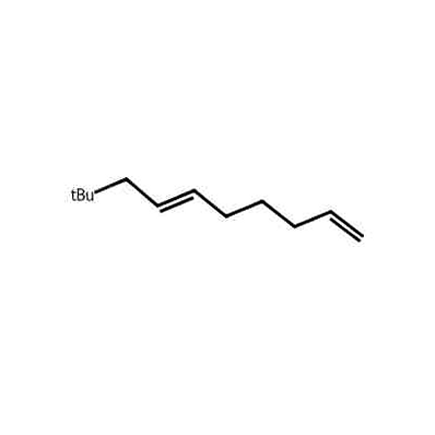 C=CCCCC=CCC(C)(C)C